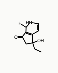 CCC1(O)CC(=O)C2=C1C=CNC2F